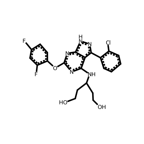 OCCC(CCO)Nc1nc(Oc2ccc(F)cc2F)nc2[nH]nc(-c3ccccc3Cl)c12